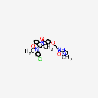 CC(=O)N(c1ccc(Cl)cc1)[C@@H]1C[C@H](C)N(C(=O)c2ccc(OCCCNC(=O)[C@@H]3CCCN3C)cc2)c2ccccc21